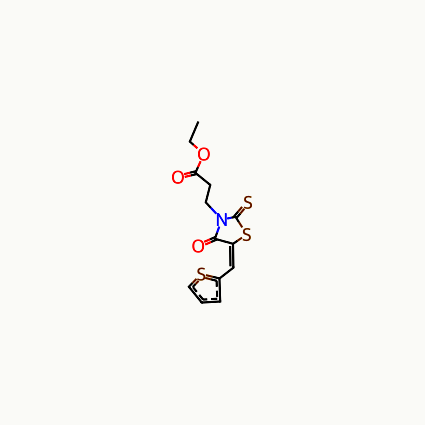 CCOC(=O)CCN1C(=O)/C(=C\c2cccs2)SC1=S